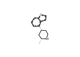 C[C@@H]1C[C@H](c2cccc3occc23)CCN1